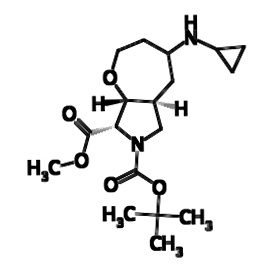 COC(=O)[C@@H]1[C@@H]2OCCC(NC3CC3)C[C@H]2CN1C(=O)OC(C)(C)C